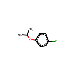 CC(Oc1ccc(F)cc1)C(C)(C)C